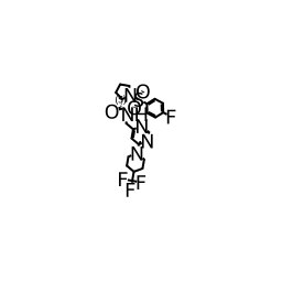 O=C(NCc1cc(N2CCC(C(F)(F)F)CC2)ncn1)[C@@H]1CCCN1S(=O)(=O)c1ccc(F)cc1